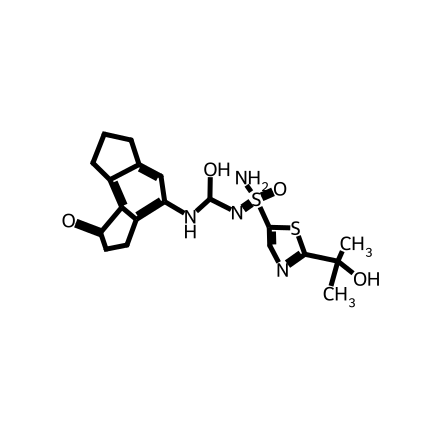 CC(C)(O)c1ncc(S(N)(=O)=NC(O)Nc2cc3c(c4c2CCC4=O)CCC3)s1